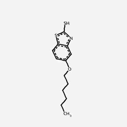 CCCCCCOc1ccc2sc(S)nc2c1